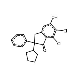 O=C1c2c(cc(O)c(Cl)c2Cl)CC1(c1ccccc1)C1CCCC1